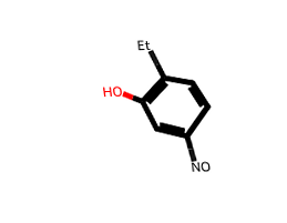 CCc1ccc(N=O)cc1O